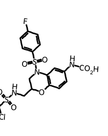 O=C(O)Nc1ccc2c(c1)N(S(=O)(=O)c1ccc(F)cc1)CC(CNS(=O)(=O)CCl)O2